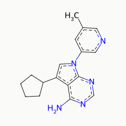 Cc1cncc(-n2cc(C3CCCC3)c3c(N)ncnc32)c1